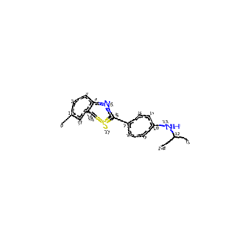 Cc1ccc2nc(-c3ccc(NC(C)C)cc3)sc2c1